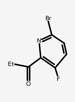 CCC(=O)c1nc(Br)ccc1F